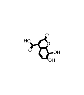 O=C(O)c1cc(=O)oc2c(O)c(O)ccc12